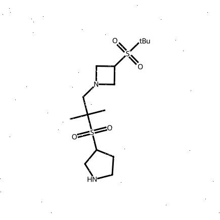 CC(C)(C)S(=O)(=O)C1CN(CC(C)(C)S(=O)(=O)C2CCNC2)C1